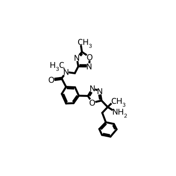 Cc1nc(CN(C)C(=O)c2cccc(-c3nnc(C(C)(N)Cc4ccccc4)o3)c2)no1